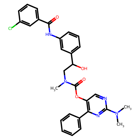 CN(CC(O)c1cccc(NC(=O)c2cccc(Cl)c2)c1)C(=O)Oc1cnc(N(C)C)nc1-c1ccccc1